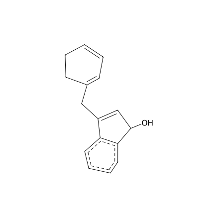 OC1C=C(CC2=CC=CCC2)c2ccccc21